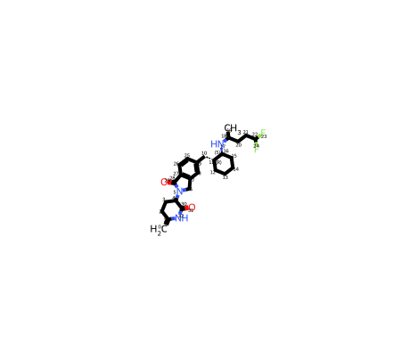 C=C1CCC(N2Cc3cc(C[C@H]4CCCC[C@@H]4NC(C)CCC(F)F)ccc3C2=O)C(=O)N1